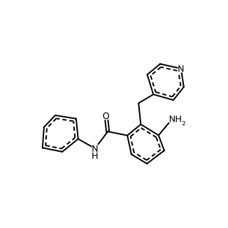 Nc1cccc(C(=O)Nc2ccccc2)c1Cc1ccncc1